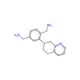 NCc1ccc(CN)c(C2CCc3cccnc3C2)c1